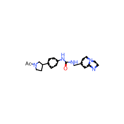 CC(=O)N1CCC(c2ccc(NC(=O)NCc3ccn4ccnc4c3)cc2)C1